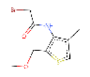 COCc1scc(C)c1NC(=O)CBr